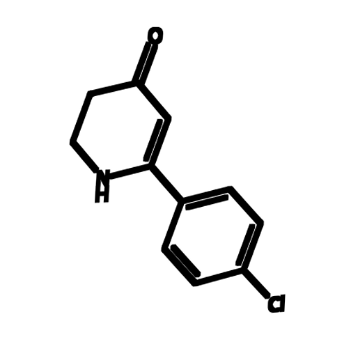 O=C1C=C(c2ccc(Cl)cc2)NCC1